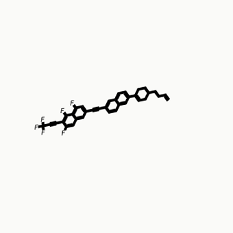 C=CCCC1CC=C(c2ccc3cc(C#Cc4cc(F)c5c(F)c(C#CC(F)(F)F)c(F)cc5c4)ccc3c2)CC1